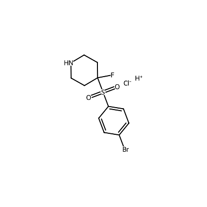 O=S(=O)(c1ccc(Br)cc1)C1(F)CCNCC1.[Cl-].[H+]